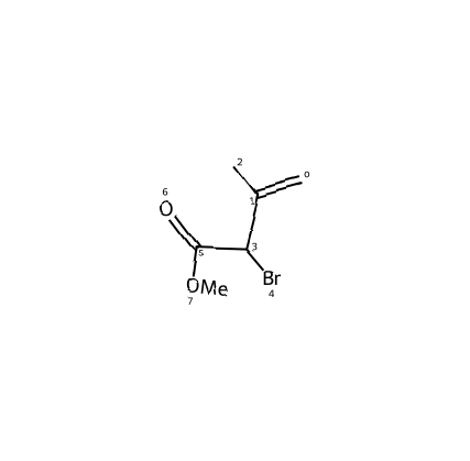 C=C(C)C(Br)C(=O)OC